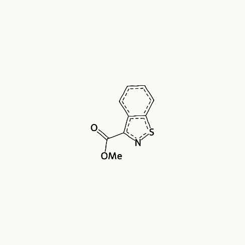 COC(=O)c1nsc2ccccc12